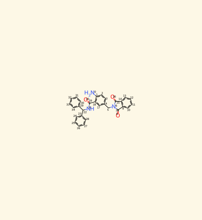 Nc1ccc(CN2C(=O)c3ccccc3C2=O)cc1C(=O)NC(c1ccccc1)c1ccccc1